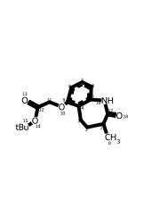 CC1CCc2c(cccc2OCC(=O)OC(C)(C)C)NC1=O